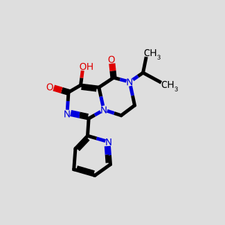 CC(C)N1CCn2c(-c3ccccn3)nc(=O)c(O)c2C1=O